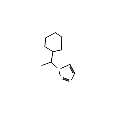 C[C](C1CCCCC1)n1ccnn1